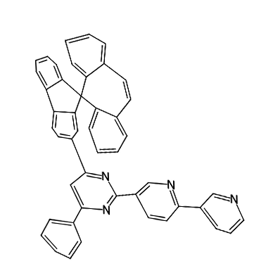 C1=Cc2ccccc2C2(c3ccccc31)c1ccccc1-c1ccc(-c3cc(-c4ccccc4)nc(-c4ccc(-c5cccnc5)nc4)n3)cc12